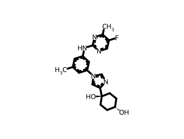 Cc1cc(Nc2ncc(F)c(C)n2)cc(-n2cnc([C@]3(O)CC[C@H](O)CC3)c2)c1